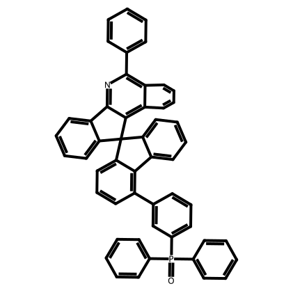 O=P(c1ccccc1)(c1ccccc1)c1cccc(-c2cccc3c2-c2ccccc2C32c3ccccc3-c3nc(-c4ccccc4)c4ccccc4c32)c1